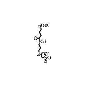 CCCCCCCCCCCCCC(=O)NCCC[N+](C)(C)CS(=O)(=O)[O-]